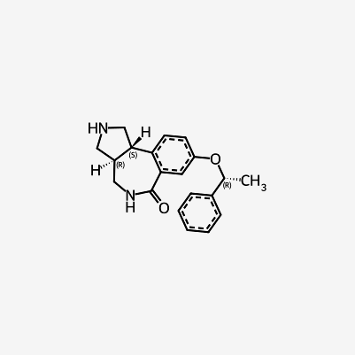 C[C@@H](Oc1ccc2c(c1)C(=O)NC[C@H]1CNC[C@H]21)c1ccccc1